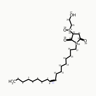 CCCCCCCC/C=C\CCCCCCCCN1C(=O)CC([S+]([O-])CCO)C1=O